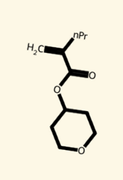 C=C(CCC)C(=O)OC1CCOCC1